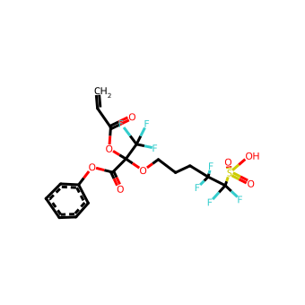 C=CC(=O)OC(OCCCC(F)(F)C(F)(F)S(=O)(=O)O)(C(=O)Oc1ccccc1)C(F)(F)F